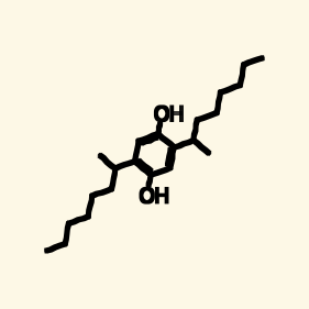 CCCCCCC(C)c1cc(O)c(C(C)CCCCCC)cc1O